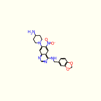 NC1CCN(c2cc3ncnc(NCc4ccc5c(c4)OCO5)c3cc2[N+](=O)[O-])CC1